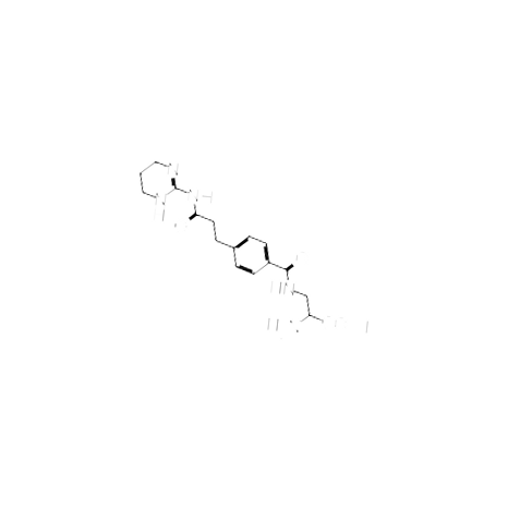 NC(CNC(=O)c1ccc(CCC(=O)NC2=NCCCN2)cc1)C(=O)O